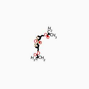 C=C(C)C(=O)OCCc1csc(S(=O)(=O)c2cc(CCOC(=O)C(=C)C)cs2)c1